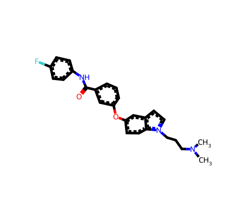 CN(C)CCCn1ccc2cc(Oc3cccc(C(=O)Nc4ccc(F)cc4)c3)ccc21